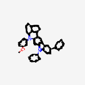 COc1cccc(N2c3cc4c(cc3-c3cccc5cccc2c35)c2cc(-c3ccccc3)ccc2n4-c2ccccc2)c1